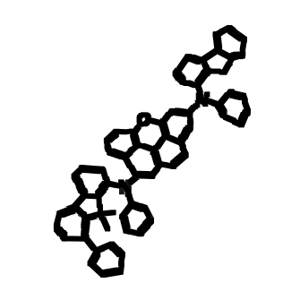 CC1(C)c2c(-c3ccccc3)cccc2-c2cccc(N(c3ccccc3)c3cc4ccc5cc(N(c6ccccc6)c6cccc7c6Cc6ccccc6-7)cc6c5c4c4c(cccc34)O6)c21